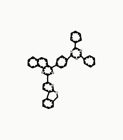 c1ccc(-c2nc(-c3ccccc3)nc(-c3ccc(-c4nc(-c5ccc6c(n5)OCc5ccccc5-6)nc5c4ccc4ccccc45)cc3)n2)cc1